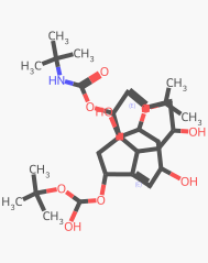 CC(C)OC1CC(O)/C=C(\C2CC(O)C/C=C/C(OC(=O)NC(C)(C)C)C2)C(OC(O)OC(C)(C)C)CC1O